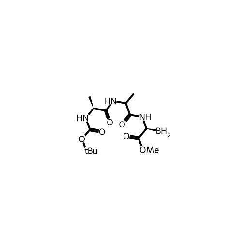 B[C@H](NC(=O)C(C)NC(=O)[C@H](C)NC(=O)OC(C)(C)C)C(=O)OC